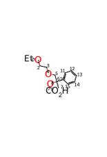 CCOCCOCC(C)(OC(=O)O)c1ccccc1